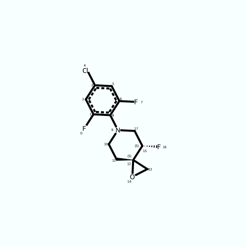 Fc1cc(Cl)cc(F)c1N1CC[C@]2(CO2)[C@@H](F)C1